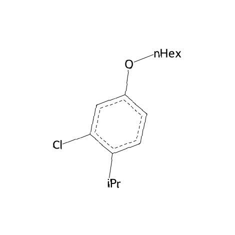 CCCCCCOc1ccc(C(C)C)c(Cl)c1